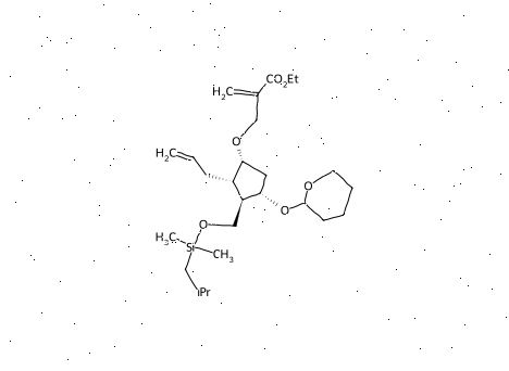 C=CC[C@H]1[C@H](CO[Si](C)(C)CC(C)C)[C@@H](OC2CCCCO2)C[C@H]1OCC(=C)C(=O)OCC